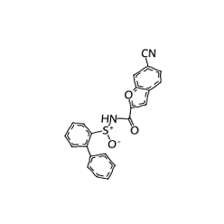 N#Cc1ccc2cc(C(=O)N[S+]([O-])c3ccccc3-c3ccccc3)oc2c1